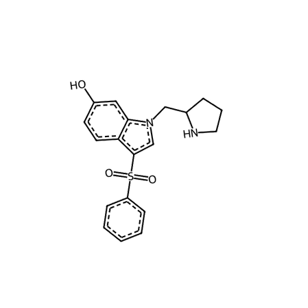 O=S(=O)(c1ccccc1)c1cn(CC2CCCN2)c2cc(O)ccc12